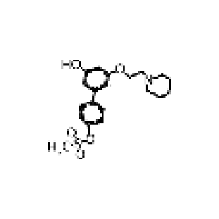 CS(=O)(=O)Oc1ccc(-c2[c]c(OCCN3CCCCC3)cc(O)c2)cc1